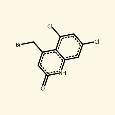 O=c1cc(CBr)c2c(Cl)cc(Cl)cc2[nH]1